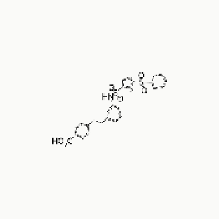 O=C(O)c1ccc(CCc2cccc(NS(=O)(=O)c3ccc(S(=O)(=O)c4ccccc4)s3)c2)cc1